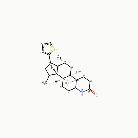 CC1CC(c2cccs2)[C@@]2(C)CC[C@@H]3[C@@H](CCC4NC(=O)CC[C@@]43C)[C@H]12